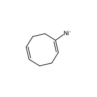 [Ni-][C]1=CCCC=CCC1